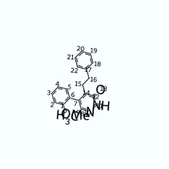 COc1ccccc1-c1c(C)n[nH]c(=O)c1CCc1ccccc1